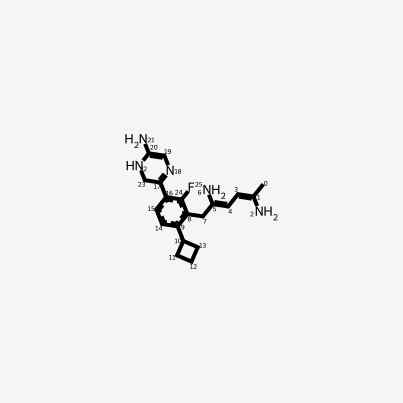 C/C(N)=C/C=C(\N)Cc1c(C2CCC2)ccc(C2=NC=C(N)NC2)c1F